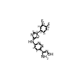 N/C(=N\O)c1ccc(Nc2ncc(-c3ccc(F)c(F)c3)o2)nn1